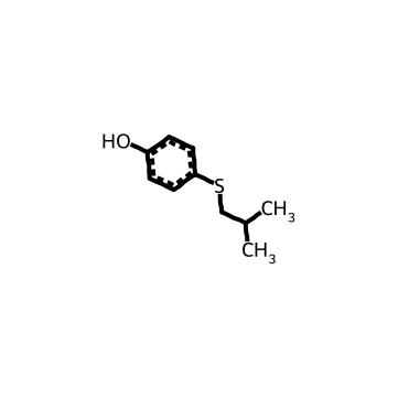 CC(C)CSc1ccc(O)cc1